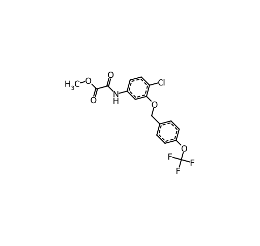 COC(=O)C(=O)Nc1ccc(Cl)c(OCc2ccc(OC(F)(F)F)cc2)c1